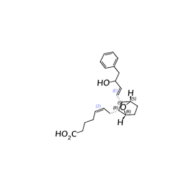 O=C(O)CCC/C=C\C[C@@H]1[C@H](/C=C/C(O)Cc2ccccc2)[C@@H]2CC[C@H]1O2